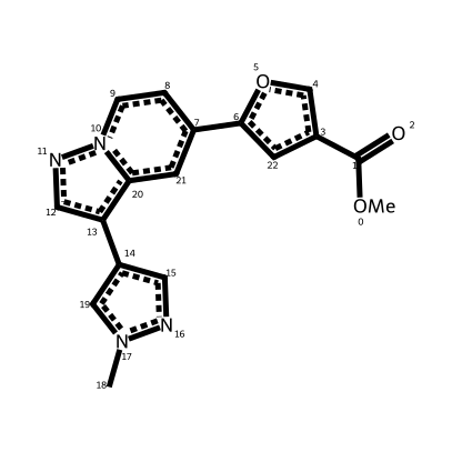 COC(=O)c1coc(-c2ccn3ncc(-c4cnn(C)c4)c3c2)c1